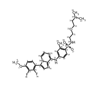 COc1ccc(-c2cnc3c(Nc4ccc(S(=O)(=O)NCCOCCN(C)C)c(C)c4)nccn23)c(F)c1F